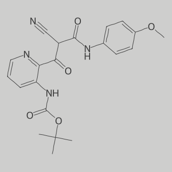 COc1ccc(NC(=O)C(C#N)C(=O)c2ncccc2NC(=O)OC(C)(C)C)cc1